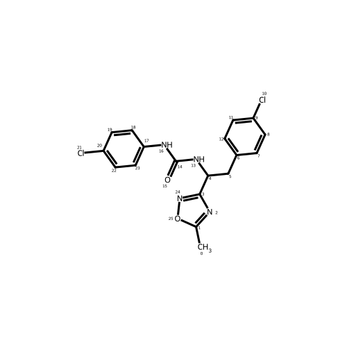 Cc1nc(C(Cc2ccc(Cl)cc2)NC(=O)Nc2ccc(Cl)cc2)no1